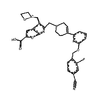 N#Cc1ccc(COc2cccc(C3=CCN(Cc4nc5oc(C(=O)O)cc5n4C[C@@H]4CCO4)CC3)n2)c(F)c1